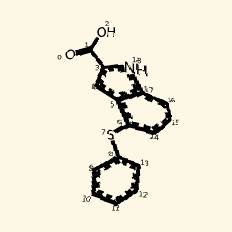 O=C(O)c1cc2c(Sc3ccccc3)cccc2[nH]1